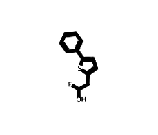 OC(F)[CH]c1ccc(-c2ccccc2)s1